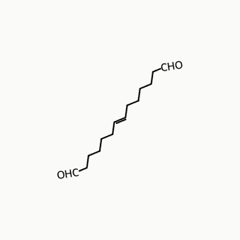 O=CCCCCC/C=C/CCCCCC=O